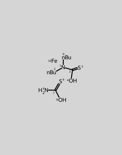 CCCCN(CCCC)C(O)=S.NC(O)=S.[Fe]